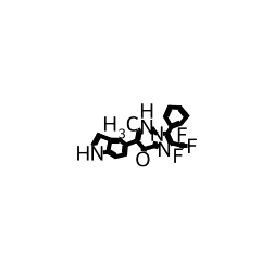 Cc1[nH]n2c(-c3ccccc3)c(C(F)(F)F)nc2c(=O)c1-c1ccc2[nH]ccc2c1